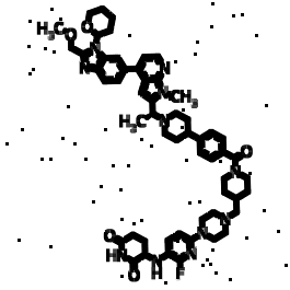 COCc1nc2ccc(-c3ccnc4c3cc([C@H](C)N3CCC(c5ccc(C(=O)N6CCC(CN7CCN(c8ccc(NC9CCC(=O)NC9=O)c(F)n8)CC7)CC6)cc5)CC3)n4C)cc2n1C1CCCCO1